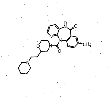 Cc1ccc2c(c1)C(=O)Nc1cccnc1N2C(=O)N1CCOC(CCN2CCCCC2)C1